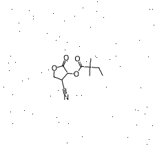 CCC(C)(C)C(=O)OC1C(=O)OCC1C#N